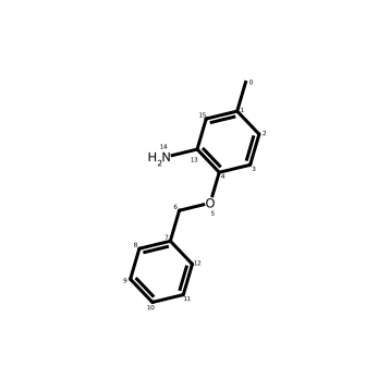 Cc1ccc(OCc2ccccc2)c(N)c1